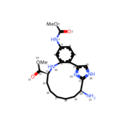 COC(=O)Nc1ccc2c(c1)N[C@H](C(=O)OC)CCCCC[C@H](N)c1nc-2c[nH]1